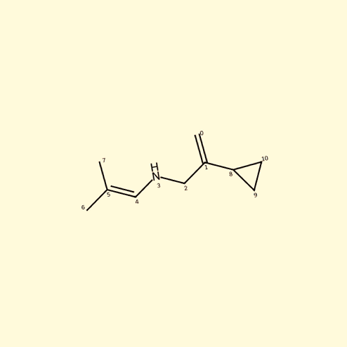 C=C(CNC=C(C)C)C1CC1